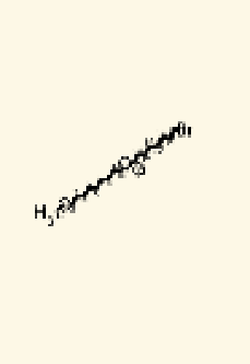 COCCCCCCCCCOC(=O)CCCCCCCBr